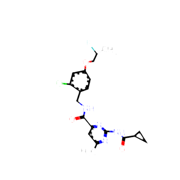 Cc1cc(C(=O)NCc2ccc(OC[C@@H](C)F)cc2Cl)nc(NC(=O)C2CC2)n1